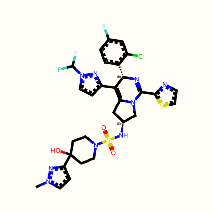 Cn1ccc(C2(O)CCN(S(=O)(=O)N[C@H]3CC4=C(c5ccn(C(F)F)n5)[C@H](c5ccc(F)cc5Cl)N=C(c5nccs5)N4C3)CC2)n1